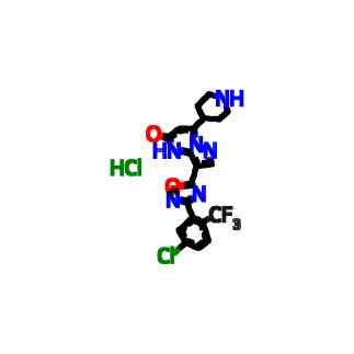 Cl.O=c1cc(C2CCNCC2)n2ncc(-c3nc(-c4cc(Cl)ccc4C(F)(F)F)no3)c2[nH]1